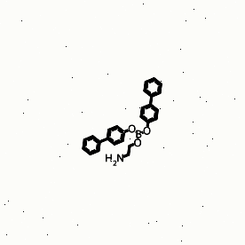 NCCOB(Oc1ccc(-c2ccccc2)cc1)Oc1ccc(-c2ccccc2)cc1